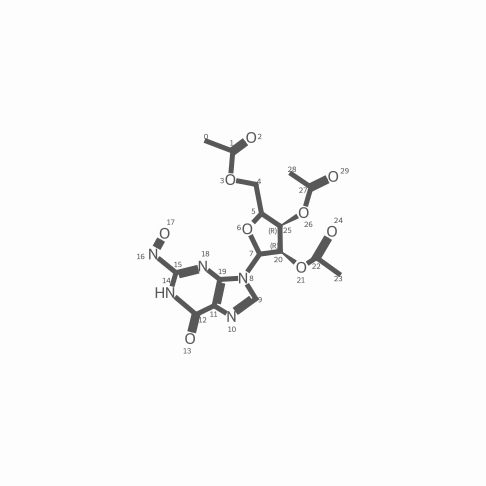 CC(=O)OCC1OC(n2cnc3c(=O)[nH]c(N=O)nc32)[C@H](OC(C)=O)[C@@H]1OC(C)=O